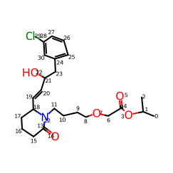 CC(C)OC(=O)COCCCCN1C(=O)CCCC1C=CC(O)Cc1cccc(Cl)c1